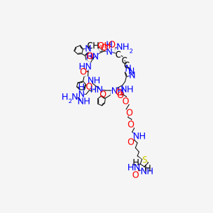 Cn1cc(C[C@H]2NC(=O)[C@@H](Cc3ccccc3)NC(=O)[C@@H](CCCNC(=N)N)NC(=O)[C@@H](Cc3ccccc3)NC(=O)[C@@H](NC(=O)COCCOCCOCCNC(=O)CCCC[C@H]3SC[C@H]4NC(=O)N[C@H]43)Cc3cn(nn3)CCCC[C@@H](C(N)=O)NC(=O)[C@@H](CO)NC2=O)c2ccccc21